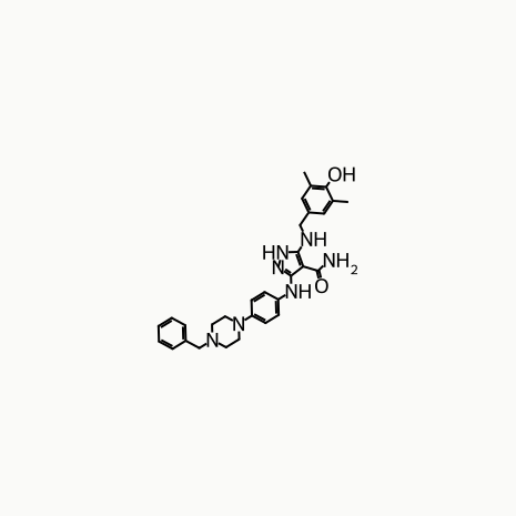 Cc1cc(CNc2[nH]nc(Nc3ccc(N4CCN(Cc5ccccc5)CC4)cc3)c2C(N)=O)cc(C)c1O